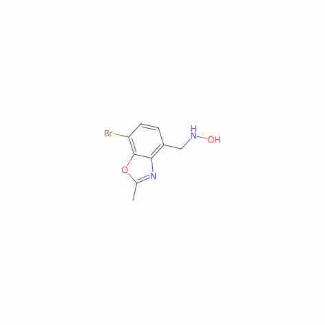 Cc1nc2c(CNO)ccc(Br)c2o1